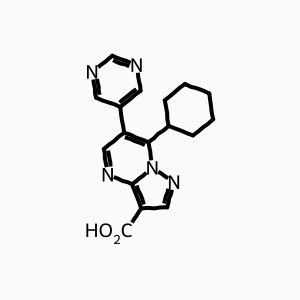 O=C(O)c1cnn2c(C3CCCCC3)c(-c3cncnc3)cnc12